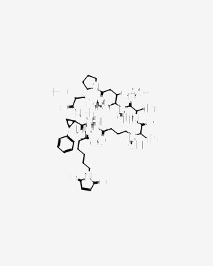 CCC(C)C(C(CC(=O)N1CCC[C@H]1C(OC)C(C)C(=O)N[C@@]1(C(N)=O)C[C@@H]1c1ccccc1)OC)N(C)C(=O)C(NC(=O)C(C(C)C)N(C)CCCC(=O)NNC(=O)CCCCCN1C(=O)C=CC1=O)C(C)C